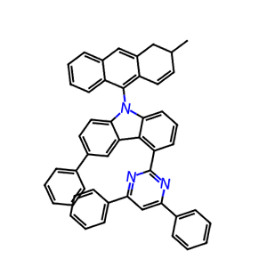 CC1C=Cc2c(cc3ccccc3c2-n2c3ccc(-c4ccccc4)cc3c3c(-c4nc(-c5ccccc5)cc(-c5ccccc5)n4)cccc32)C1